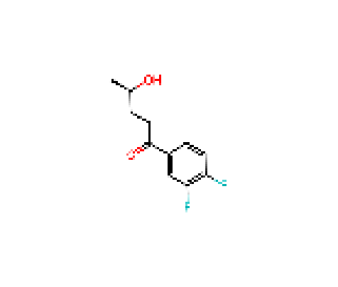 C[C@@H](O)CCC(=O)c1ccc(F)c(F)c1